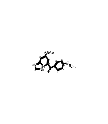 COc1cc(C(F)c2ccc(OC(F)(F)F)cc2)n2ncnc2c1